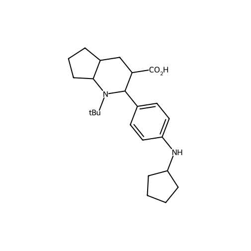 CC(C)(C)N1C2CCCC2CC(C(=O)O)C1c1ccc(NC2CCCC2)cc1